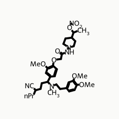 CCCC(C#N)CCC(c1ccc(OCC(=O)NN2CCC(C(C)O[N+](=O)[O-])CC2)c(OC)c1)N(C)CCc1ccc(OC)c(OC)c1